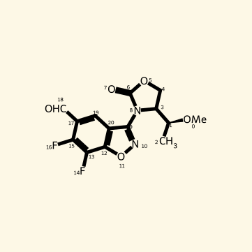 CO[C@@H](C)C1COC(=O)N1c1noc2c(F)c(F)c(C=O)cc12